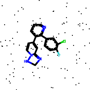 Fc1ccc(-c2ncccc2C2=CC3=NCNN3C=C2)cc1Cl